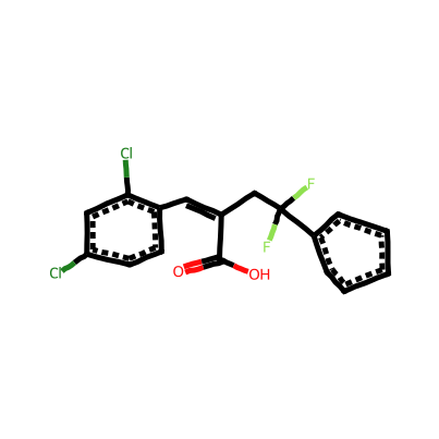 O=C(O)C(=Cc1ccc(Cl)cc1Cl)CC(F)(F)c1ccccc1